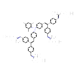 [C-]#[N+]/C(=C\c1ccc(C(=Cc2ccc(N(c3ccc(C=C(c4ccc(/C=C(\[N+]#[C-])C(=O)O)cc4)c4ccc(/C=C(\[N+]#[C-])C(=O)O)cc4)cc3)c3c(C)cc(C)cc3C)cc2)c2ccc(/C=C(\[N+]#[C-])C(=O)O)cc2)cc1)C(=O)O